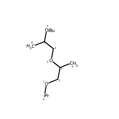 [CH2]C(C)OCC(C)OCC(C)OCC(C)C